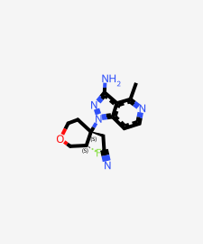 Cc1nccc2c1c(N)nn2[C@@]1(CC#N)CCOC[C@H]1F